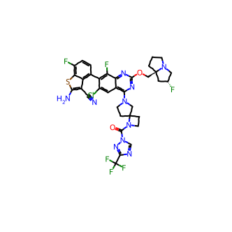 N#Cc1c(N)sc2c(F)ccc(-c3c(Cl)cc4c(N5CCC6(CCN6C(=O)n6cnc(C(F)(F)F)n6)C5)nc(OC[C@@]56CCCN5C[C@H](F)C6)nc4c3F)c12